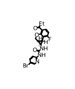 CCC(=O)c1ccc(F)c2c1OC[C@H]1[C@@H](NC(=O)Nc3ccc(Br)cn3)[C@@H]21